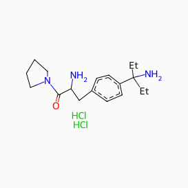 CCC(N)(CC)c1ccc(CC(N)C(=O)N2CCCC2)cc1.Cl.Cl